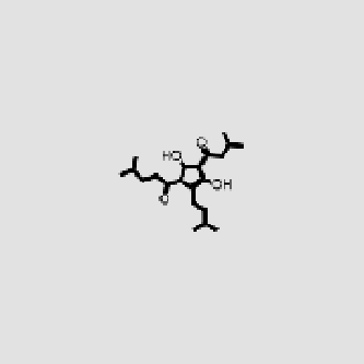 CC(C)CCC(=O)C1C(CCC(C)C)=C(O)C(C(=O)CC(C)C)C1O